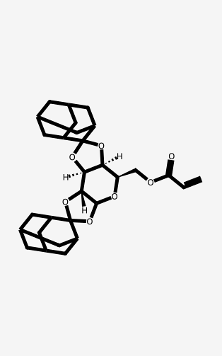 C=CC(=O)OC[C@H]1OC2OC3(O[C@@H]2[C@H]2OC4(O[C@H]21)C1CC2CC(C1)CC4C2)C1CC2CC(C1)CC3C2